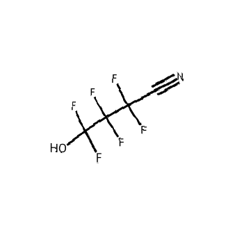 N#CC(F)(F)C(F)(F)C(O)(F)F